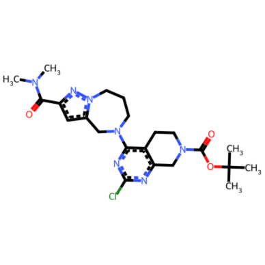 CN(C)C(=O)c1cc2n(n1)CCCN(c1nc(Cl)nc3c1CCN(C(=O)OC(C)(C)C)C3)C2